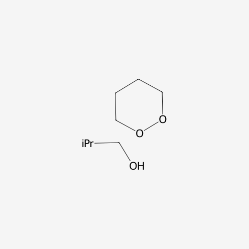 C1CCOOC1.CC(C)CO